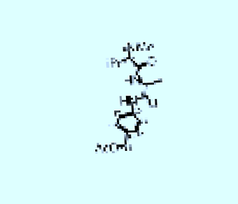 CNC(C(=O)NC(C)C(=O)Nc1ccc(COC(C)=O)cc1)C(C)C